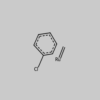 Clc1ccccc1.[CH2]=[Ru]